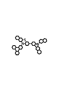 c1ccc2cc(-n3c4ccc(-c5ccc6c(c5)Sc5cc7ccccc7cc5N6c5ccc6c7ccccc7c7ccccc7c6c5)cc4c4cc5ccccc5cc43)ccc2c1